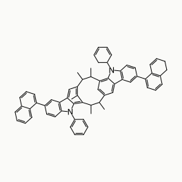 Cc1c2cc3c4cc(-c5cccc6ccccc56)ccc4n(-c4ccccc4)c3c1C(C)C(C)c1cc(c3c(c1)c1cc(-c4cccc5c4C=CCC5)ccc1n3C1C=CC=CC1)C(C)C2C